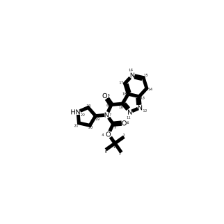 CC(C)(C)OC(=O)N(C(=O)C1=NN=C2CC=NC=C21)C1CCNC1